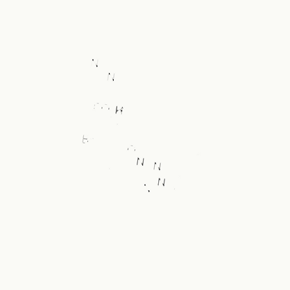 Cc1nc(C)n(Cc2ccc3oc(-c4ccccc4-c4nnn(C(c5ccccc5)(c5ccccc5)c5ccccc5)n4)c(Br)c3c2)c1C(=O)O